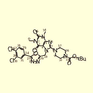 Cn1c(=O)c2c(nc(N3CCN(C(=O)OC(C)(C)C)CC3)n2Cc2nnc(-c3ccc(Cl)c(Cl)c3)o2)n(C)c1=O